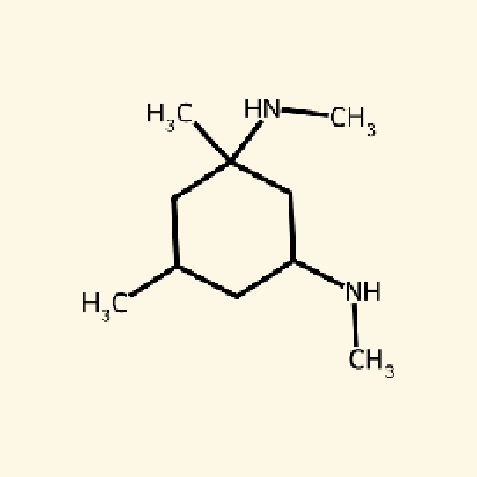 CNC1CC(C)CC(C)(NC)C1